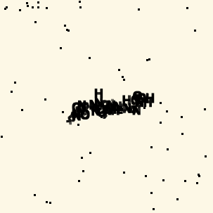 C=CC(=O)Nc1cc(Nc2nc(-c3ccnc(N4CCn5c(cc6c5CC(C)(C)C6)C4=O)c3CO)cnc2OC)ccc1N1CCN(C2CCN(c3ccnc(C(C)(C)NP(=O)(O)O)c3)[C@@H](C)C2)C[C@@H]1C